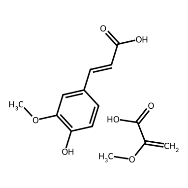 C=C(OC)C(=O)O.COc1cc(C=CC(=O)O)ccc1O